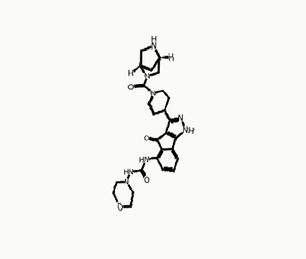 O=C(Nc1cccc2c1C(=O)c1c(C3CCN(C(=O)N4C[C@@H]5C[C@H]4CN5)CC3)n[nH]c1-2)NN1CCOCC1